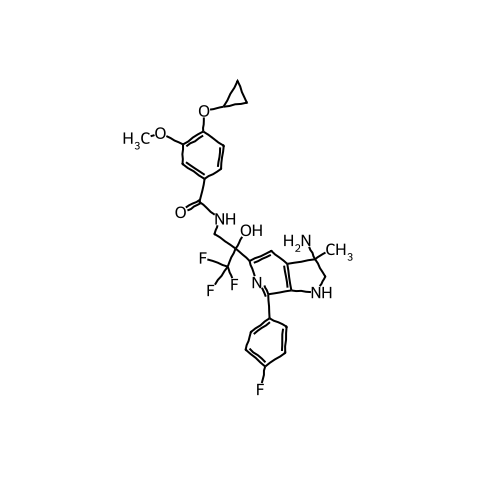 COc1cc(C(=O)NCC(O)(c2cc3c(c(-c4ccc(F)cc4)n2)NCC3(C)N)C(F)(F)F)ccc1OC1CC1